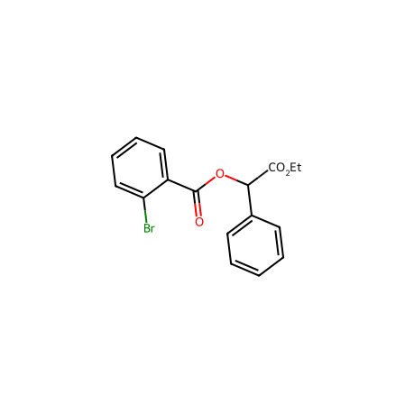 CCOC(=O)C(OC(=O)c1ccccc1Br)c1ccccc1